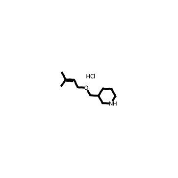 CC(C)=CCOCC1CCCNC1.Cl